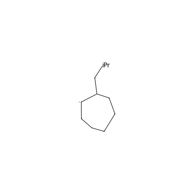 CC(C)CC1[CH]CCCCC1